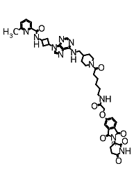 Cc1cccc(C(=O)NC2CC(n3cnc4c(NCC5CCN(C(=O)CCCCCNC(=O)COc6ccc7c(c6)C(=O)N([C@@H]6CCC(=O)NC6=O)C7=O)CC5)ncnc43)C2)n1